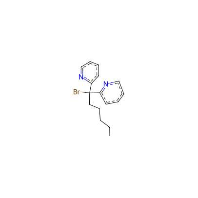 CCCCCC(Br)(c1ccccn1)c1ccccn1